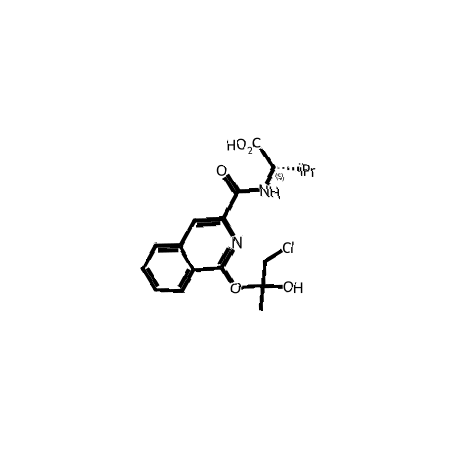 CC(C)[C@H](NC(=O)c1cc2ccccc2c(OC(C)(O)CCl)n1)C(=O)O